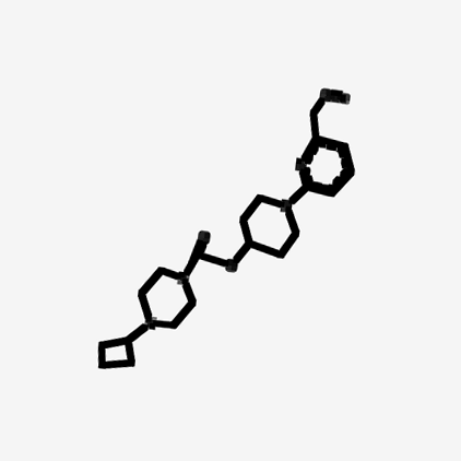 COCc1cccc(N2CCC(OC(=O)N3CCN(C4CCC4)CC3)CC2)n1